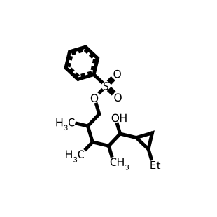 CCC1CC1C(O)C(C)C(C)C(C)COS(=O)(=O)c1ccccc1